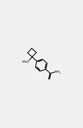 C=C(N)c1ccc(C2(OC)CCC2)cc1